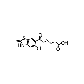 C=C1Nc2cc(Cl)c(C(=O)CSCCC(=O)O)cc2S1